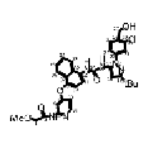 COCC(=O)Nc1cc(Oc2ccc(NC(=O)Nc3cc(C(C)(C)C)nn3-c3ccc(CO)c(Cl)c3)c3ccccc23)ccn1